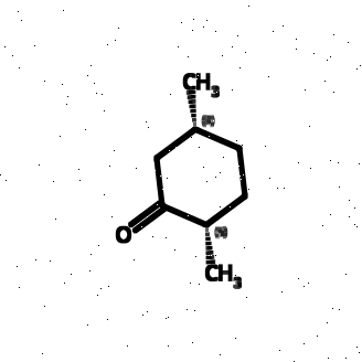 C[C@@H]1CC[C@H](C)C(=O)C1